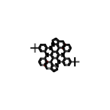 CC(C)(C)c1ccc2c(c1)N(c1ccccc1)c1c3c(c4c5c1-c1cccc6ccn(c16)B5c1ccc(C(C)(C)C)cc1N4c1ccccc1)-c1cccc4ccn(c14)B23